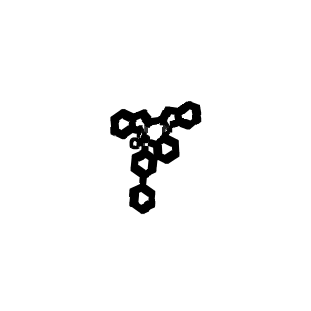 O=P1(c2ccc(-c3ccccc3)cc2)c2ccccc2-n2c(cc3ccccc32)-c2cc3ccccc3n21